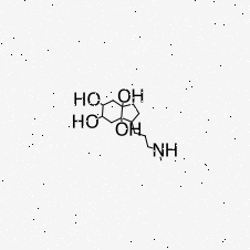 CNCCCC1CCC2(O)CC(O)C(O)CC12O